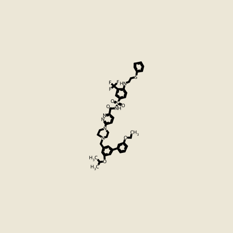 CCOc1cccc(-c2cc(CN3CCN(c4ccc(C(=O)NS(=O)(=O)c5ccc(NCCSc6ccccc6)c(C(F)(F)F)c5)nn4)CC3)cc(OC(C)C)c2)c1